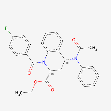 CCOC(=O)[C@H]1C[C@@H](N(C(C)=O)c2ccccc2)c2ccccc2N1C(=O)c1ccc(F)cc1